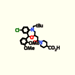 COc1cccc(C2OC(CC(=O)N3CCC(C(=O)O)CC3)CN(CC(C)(C)C)c3ccc(Cl)cc32)c1OC